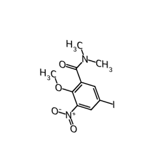 COc1c(C(=O)N(C)C)cc(I)cc1[N+](=O)[O-]